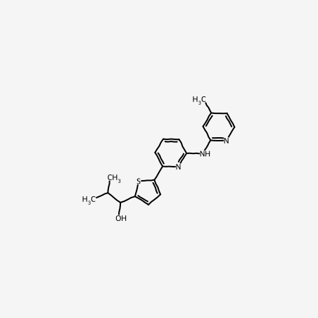 Cc1ccnc(Nc2cccc(-c3ccc(C(O)C(C)C)s3)n2)c1